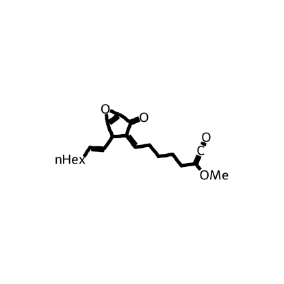 CCCCCCC=CC1C(=CCCCCC(=C=O)OC)C(=O)C2=C1O2